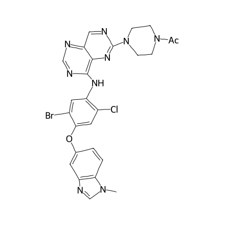 CC(=O)N1CCN(c2ncc3ncnc(Nc4cc(Br)c(Oc5ccc6c(c5)ncn6C)cc4Cl)c3n2)CC1